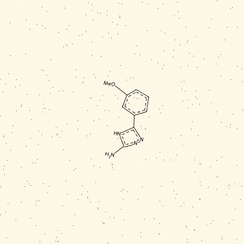 COc1cccc(-c2nnc(N)[nH]2)c1